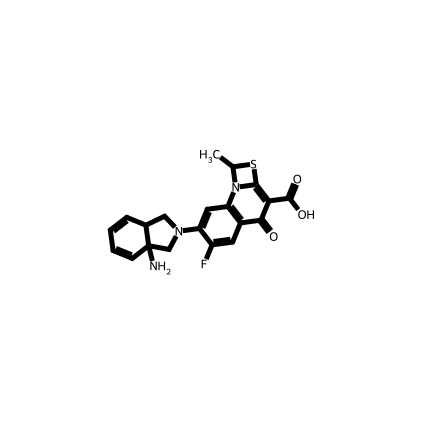 CC1Sc2c(C(=O)O)c(=O)c3cc(F)c(N4CC5C=CC=CC5(N)C4)cc3n21